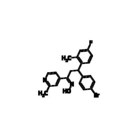 Cc1cc(C(CC(c2ccc(Br)cc2)c2ccc(F)cc2C)=NO)ccn1